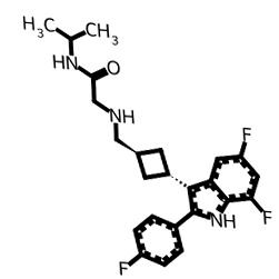 CC(C)NC(=O)CNC[C@H]1C[C@H](c2c(-c3ccc(F)cc3)[nH]c3c(F)cc(F)cc32)C1